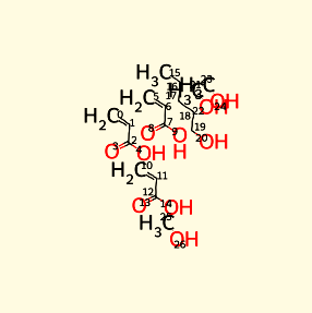 C=CC(=O)O.C=CC(=O)O.C=CC(=O)O.CCCCCO.CO.CO.CO